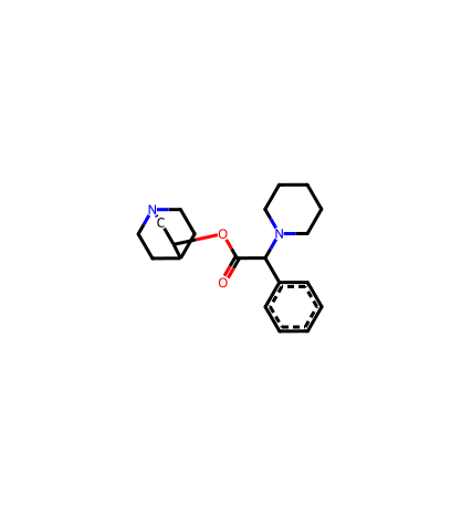 O=C(OC1CN2CCC1CC2)C(c1ccccc1)N1CCCCC1